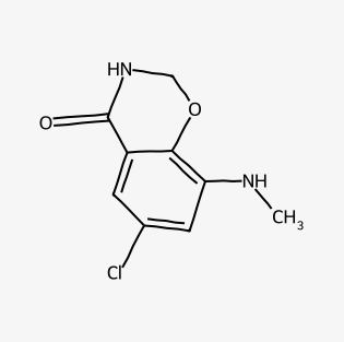 CNc1cc(Cl)cc2c1OCNC2=O